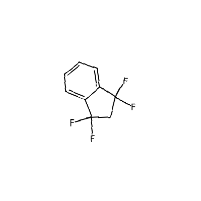 FC1(F)CC(F)(F)c2ccccc21